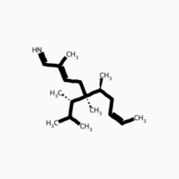 C/C=C\C[C@H](C)[C@](C)(C/C=C(\C)C=N)[C@@H](C)C(C)C